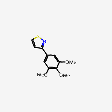 COc1cc(-c2ccsn2)cc(OC)c1OC